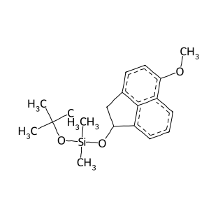 COc1ccc2c3c(cccc13)C(O[Si](C)(C)OC(C)(C)C)C2